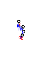 O=[N+]([O-])c1ccc(N2CCCC(N[C@@H]3CCCC[C@H]3Nc3nnc(-c4ccccc4)o3)C2)cc1